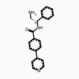 NC[C@@H](NC(=O)c1ccc(-c2ccncc2)cc1)c1ccccc1